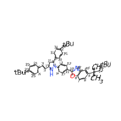 CC(C)(C)CC(C)(C)c1ccc2oc(-c3ccc(N4NC(C=Cc5ccc(C(C)(C)C)cc5)=CC4c4ccc(C(C)(C)C)cc4)cc3)nc2c1